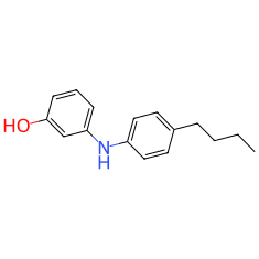 CCCCc1ccc(Nc2cccc(O)c2)cc1